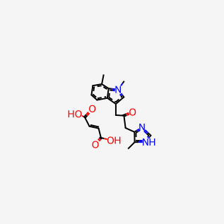 Cc1[nH]cnc1CC(=O)Cc1cn(C)c2c(C)cccc12.O=C(O)C=CC(=O)O